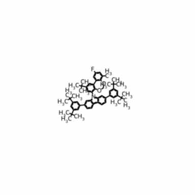 Cc1cc(F)cc2c1OCOc1c-2cc(C(C)(C)C)cc1-n1c2cc(-c3cc(C(C)(C)C)cc(C(C)(C)C)c3)ccc2c2ccc(-c3cc(C(C)(C)C)cc(C(C)(C)C)c3)cc21